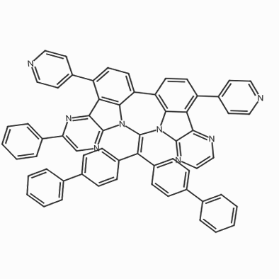 c1ccc(-c2ccc(C(c3ccc(-c4ccccc4)cc3)=c3n4c5nccnc5c5c(-c6ccncc6)ccc(c6ccc(-c7ccncc7)c7c8nc(-c9ccccc9)cnc8n3c67)c54)cc2)cc1